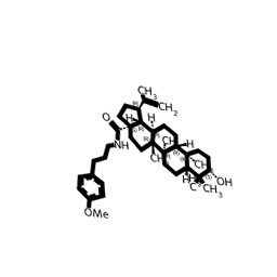 C=C(C)[C@@H]1CC[C@]2(C(=O)NCCCc3ccc(OC)cc3)CC[C@]3(C)[C@H](CC[C@@H]4[C@@]5(C)CC[C@H](O)C(C)(C)[C@@H]5CC[C@]43C)[C@@H]12